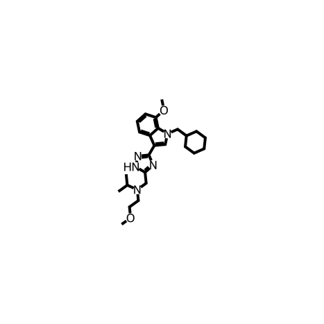 COCCN(Cc1nc(-c2cn(CC3CCCCC3)c3c(OC)cccc23)n[nH]1)C(C)C